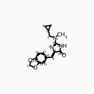 CN(CC1CC1)C1=N/C(=C\c2ccc3c(c2)OCO3)C(=O)N1